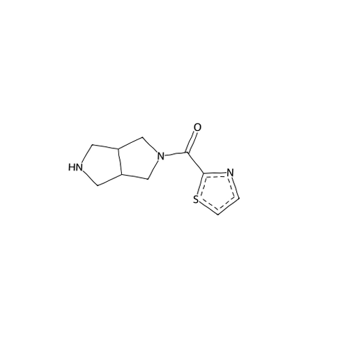 O=C(c1nccs1)N1CC2CNCC2C1